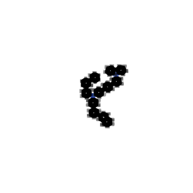 c1ccc(-c2cccc(-c3cccc(N(c4ccc(-c5ccc(-c6cccc(-n7c8ccccc8c8ccccc87)c6)cc5)cc4)c4ccc(-c5cccc(-c6ccc7ccccc7c6)c5)cc4)c3)c2)cc1